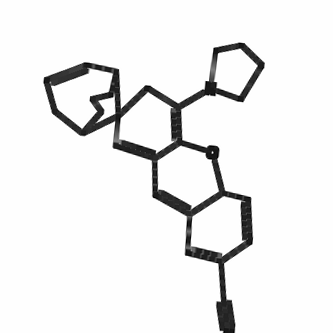 N#CC1=CC2=CC3=CC4(CC(N5CCCC5)=C3OC2C=C1)C1C=CCC4CCC1